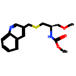 CC(C)OC[C@@H](CSCc1cnc2ccccc2c1)NC(=O)OC(C)(C)C